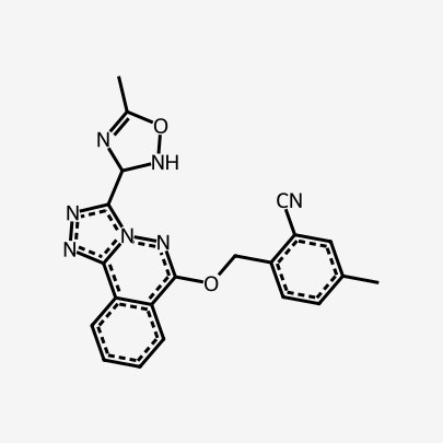 CC1=NC(c2nnc3c4ccccc4c(OCc4ccc(C)cc4C#N)nn23)NO1